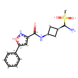 CS(=O)(=O)C(N)[C@H]1C[C@@H](NC(=O)c2cc(-c3ccccc3)on2)C1